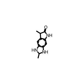 CC1Nc2cc3c(cc2N1)C(C)C(=O)N3